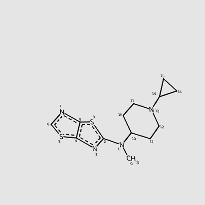 CN(c1nc2scnc2s1)C1CCN(C2CC2)CC1